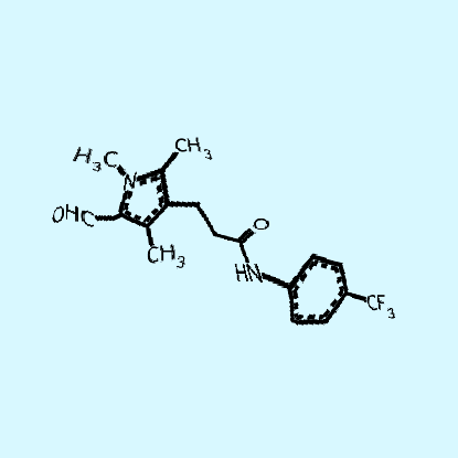 Cc1c(CCC(=O)Nc2ccc(C(F)(F)F)cc2)c(C)n(C)c1C=O